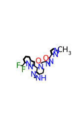 Cn1ccc(-c2nnc(C(=O)N3CCc4[nH]cnc4C3c3cc4cccc(C(F)F)n4n3)o2)n1